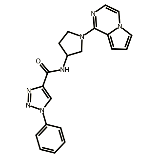 O=C(NC1CCN(c2nccn3cccc23)C1)c1cn(-c2ccccc2)nn1